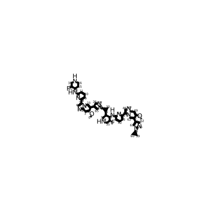 COc1cc2ncc(-c3cccc(NC4CCNCC4F)n3)n2cc1-c1cnn(C2CC2C2CNC[C@H](F)[C@H]2Nc2cccc(-c3cnc4cc(OC)c(-c5cnn(C6CC6)c5)cn34)n2)c1